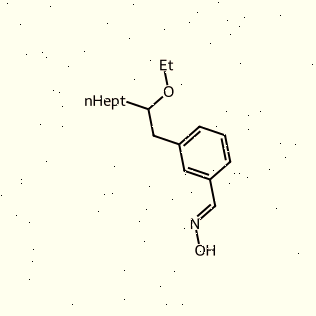 CCCCCCCC(Cc1cccc(C=NO)c1)OCC